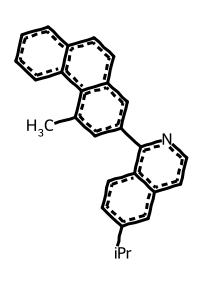 Cc1cc(-c2nccc3cc(C(C)C)ccc23)cc2ccc3ccccc3c12